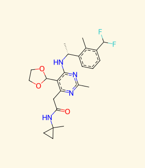 Cc1nc(CC(=O)NC2(C)CC2)c(C2OCCO2)c(N[C@H](C)c2cccc(C(F)F)c2C)n1